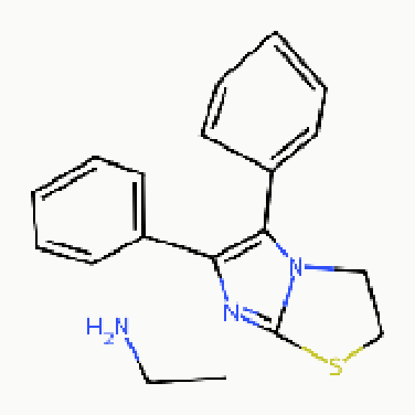 CCN.c1ccc(-c2nc3n(c2-c2ccccc2)CCS3)cc1